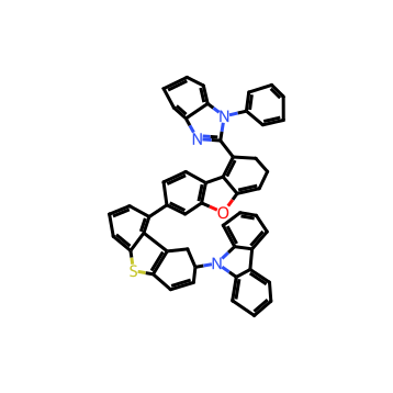 C1=CC(n2c3ccccc3c3ccccc32)Cc2c1sc1cccc(-c3ccc4c5c(oc4c3)=CCCC=5c3nc4ccccc4n3-c3ccccc3)c21